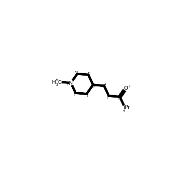 CC(C)C(=O)CCC1CCN(C)CC1